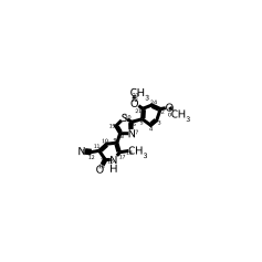 COc1ccc(-c2nc(-c3cc(C#N)c(=O)[nH]c3C)cs2)c(OC)c1